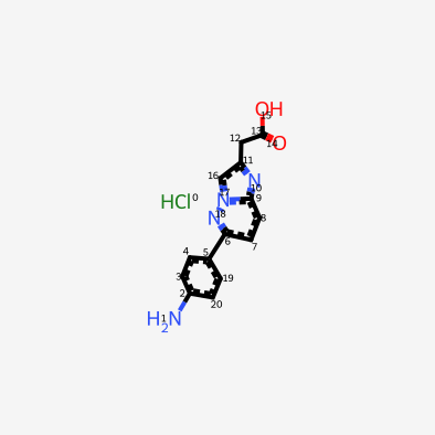 Cl.Nc1ccc(-c2ccc3nc(CC(=O)O)cn3n2)cc1